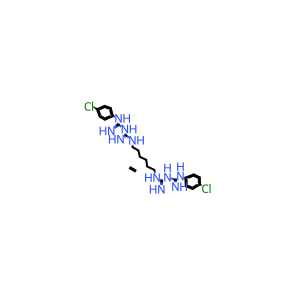 C=C.N=C(NCCCCCCNC(=N)NC(=N)Nc1ccc(Cl)cc1)NC(=N)Nc1ccc(Cl)cc1